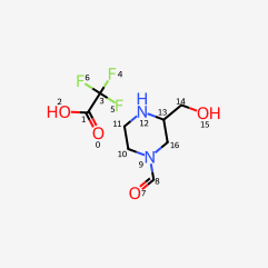 O=C(O)C(F)(F)F.O=CN1CCNC(CO)C1